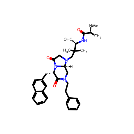 CN[C@@H](C)C(=O)N[C@H](C=O)C(C)(C)CN1CC(=O)N2[C@@H]1CN(CCc1ccccc1)C(=O)[C@@H]2Cc1ccc2ccccc2c1